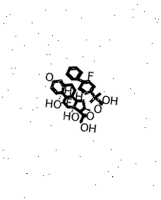 CC(C)(C(=O)O)c1ccc(-c2ccccc2)c(F)c1.C[C@@H]1C[C@H]2[C@@H]3CCC4=CC(=O)C=C[C@]4(C)[C@@]3(F)[C@@H](O)C[C@]2(C)[C@@]1(O)C(=O)CO